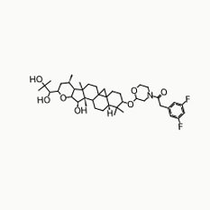 C[C@@H]1CC(C(O)C(C)(C)O)OC2C1C1(C)CCC34CC35CCC(OC3CN(C(=O)Cc6cc(F)cc(F)c6)CCO3)C(C)(C)[C@@H]5CCC4[C@]1(C)[C@H]2O